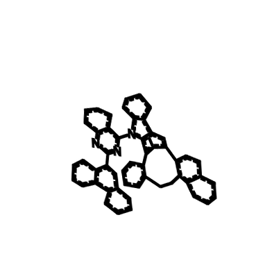 Cc1c2cc3c4ccccc4n(-c4nc(-c5cc6ccccc6c6ccccc56)nc5ccccc45)c3c1-c1ccccc1CCc1c-2ccc2ccccc12